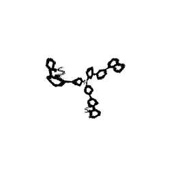 c1cc(-c2cccc(N(c3ccc(-c4ccc5c(c4)sc4ccccc45)cc3)c3ccc(-c4cccc5c4sc4ccccc45)cc3)c2)cc(-c2cccc3ccccc23)c1